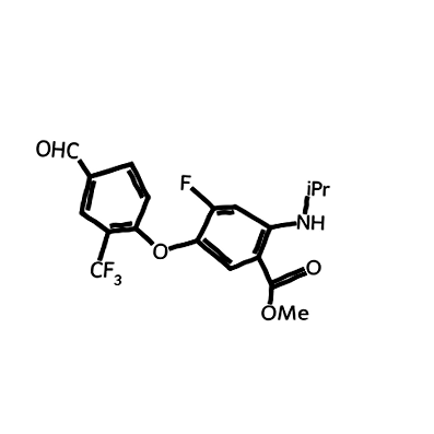 COC(=O)c1cc(Oc2ccc(C=O)cc2C(F)(F)F)c(F)cc1NC(C)C